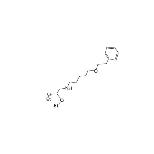 CCOC(CNCCCCCOCCc1ccccc1)OCC